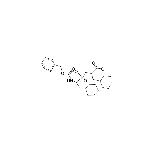 O=C(NC(CC1CCCCC1)P(=O)(O)CC(CC1CCCCC1)C(=O)O)OCc1ccccc1